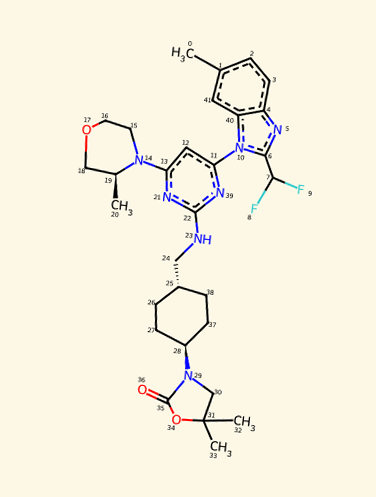 Cc1ccc2nc(C(F)F)n(-c3cc(N4CCOC[C@@H]4C)nc(NC[C@H]4CC[C@H](N5CC(C)(C)OC5=O)CC4)n3)c2c1